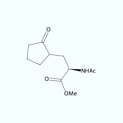 COC(=O)[C@@H](CC1CCCC1=O)NC(C)=O